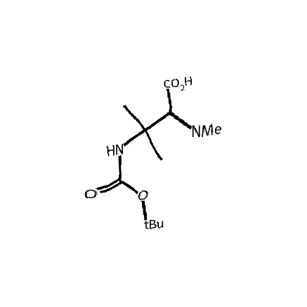 CNC(C(=O)O)C(C)(C)NC(=O)OC(C)(C)C